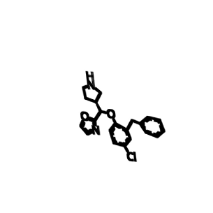 Clc1ccc(OC(c2ncco2)[C@H]2CCNC2)c(Cc2ccccc2)c1